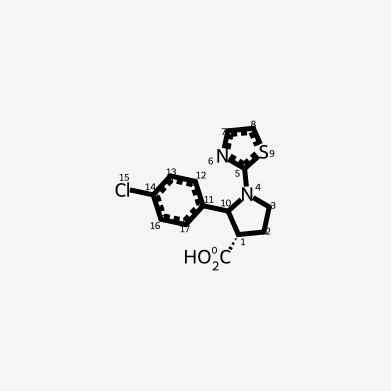 O=C(O)[C@H]1CCN(c2nccs2)C1c1ccc(Cl)cc1